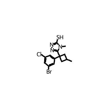 CC1CC(c2cc(Cl)cc(Br)c2)(c2nnc(S)n2C)C1